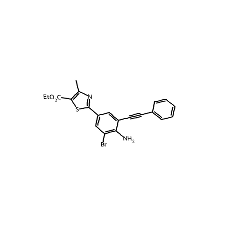 CCOC(=O)c1sc(-c2cc(Br)c(N)c(C#Cc3ccccc3)c2)nc1C